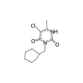 Cc1[nH]c(=O)n(CC2CCCCC2)c(=O)c1Cl